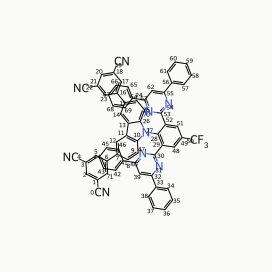 N#Cc1cc(C#N)cc(-c2ccc3c(c2)c2cc(-c4cc(C#N)cc(C#N)c4)ccc2n3-c2c(-c3nc(-c4ccccc4)cc(-c4ccccc4)n3)cc(C(F)(F)F)cc2-c2nc(-c3ccccc3)cc(-c3ccccc3)n2)c1